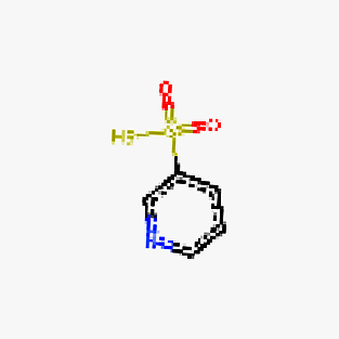 O=S(=O)(S)c1cccnc1